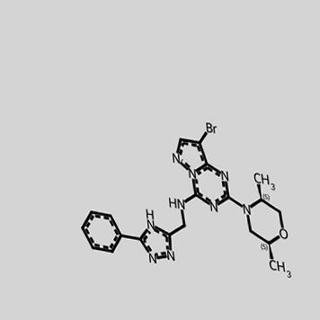 C[C@H]1CN(c2nc(NCc3nnc(-c4ccccc4)[nH]3)n3ncc(Br)c3n2)[C@@H](C)CO1